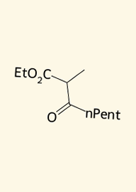 CCCCCC(=O)C(C)C(=O)OCC